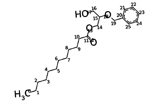 CCCCCCCCCCCC(=O)OCC(CO)OCc1ccccc1